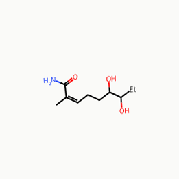 CCC(O)C(O)CCC=C(C)C(N)=O